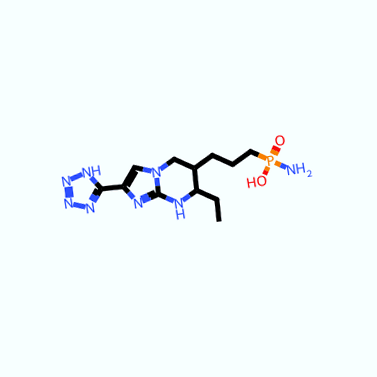 CCC1Nc2nc(-c3nnn[nH]3)cn2CC1CCCP(N)(=O)O